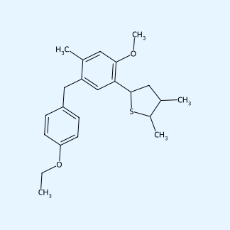 CCOc1ccc(Cc2cc(C3CC(C)C(C)S3)c(OC)cc2C)cc1